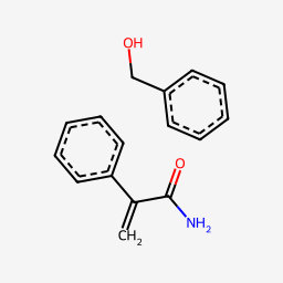 C=C(C(N)=O)c1ccccc1.OCc1ccccc1